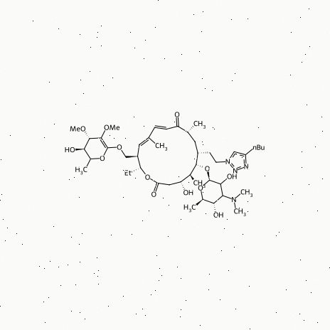 CCCCc1cn(CC[C@H]2C[C@@H](C)C(=O)/C=C/C(C)=C/[C@H](COC3=C(OC)[C@@H](OC)[C@H](O)C(C)O3)[C@@H](CC)OC(=O)C[C@@H](O)[C@H](C)[C@H]2O[C@@H]2O[C@H](C)[C@@H](O)C(N(C)C)C2O)nn1